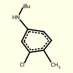 CCC(C)Nc1ccc(C)c(Cl)c1